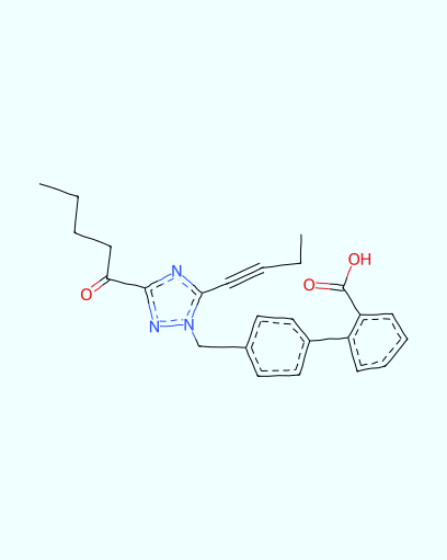 CCC#Cc1nc(C(=O)CCCC)nn1Cc1ccc(-c2ccccc2C(=O)O)cc1